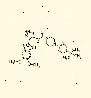 COc1cc2nc(-c3n[nH]cc3NC(=O)C3CCN(c4ncc(C(C)(C)C)cn4)CC3)[nH]c2cc1OC